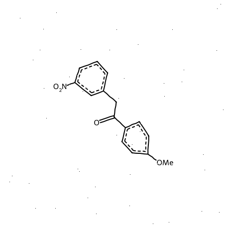 COc1ccc(C(=O)Cc2cccc([N+](=O)[O-])c2)cc1